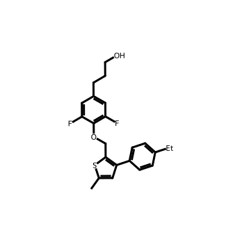 CCc1ccc(-c2cc(C)sc2COc2c(F)cc(CCCO)cc2F)cc1